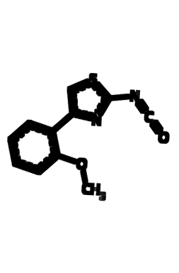 COc1ccccc1-c1csc(N=C=O)n1